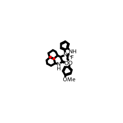 COc1ccc(OC[C@]2(F)Nc3ccccc3N2C(C(=O)NC2CCCCC2)C2CCCCC2)cc1